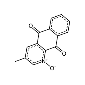 Cc1cc2c([n+]([O-])c1)C(=O)c1ccccc1C2=O